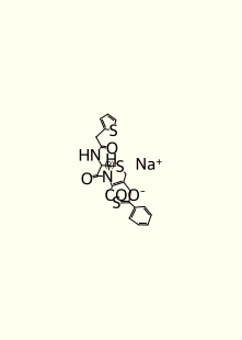 O=C(Cc1cccs1)NC1C(=O)N2C(C(=O)[O-])=C(CC(=S)c3ccccc3)CS[C@H]12.[Na+]